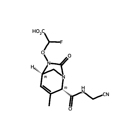 CC1=C[C@@H]2CN(C(=O)N2OC(F)C(=O)O)[C@@H]1C(=O)NCC#N